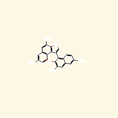 CC(C)(C)c1ccc2c(-c3coc4c(C(C)(C)C)cc5cc(C(C)(C)C)ccc5c34)c(O)c(C(C)(C)C)cc2c1